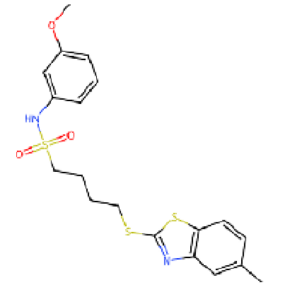 COc1cccc(NS(=O)(=O)CCCCSc2nc3cc(C)ccc3s2)c1